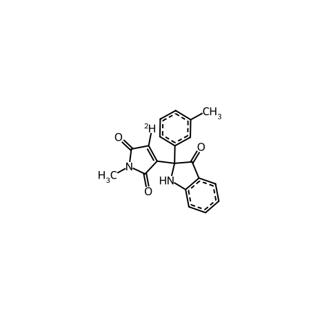 [2H]C1=C(C2(c3cccc(C)c3)Nc3ccccc3C2=O)C(=O)N(C)C1=O